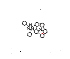 c1ccc(-c2nc(-c3ccccc3)nc(-c3ccccc3-c3cccc(-c4ccccc4)c3-n3c4ccccc4c4ccccc43)n2)cc1